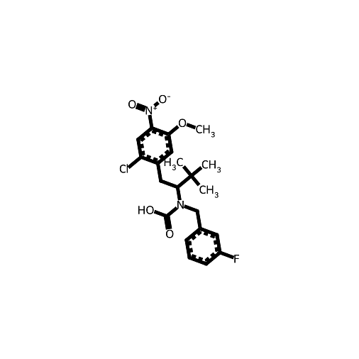 COc1cc(CC(N(Cc2cccc(F)c2)C(=O)O)C(C)(C)C)c(Cl)cc1[N+](=O)[O-]